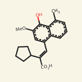 COc1cc(C=C(C(=O)O)C2CCCC2)c2cccc(C)c2c1O